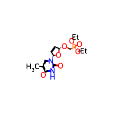 CCOP(=O)(CO[C@H]1C=C[C@@H](n2cc(C)c(=O)[nH]c2=O)O1)OCC